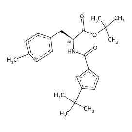 Cc1ccc(C[C@H](NC(=O)c2ccc(C(C)(C)C)s2)C(=O)OC(C)(C)C)cc1